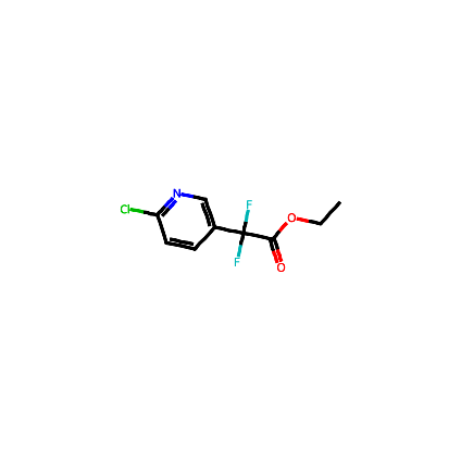 CCOC(=O)C(F)(F)c1ccc(Cl)nc1